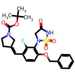 CC(C)(C)OC(=O)N1CCC(=Cc2ccc(OCc3ccccc3)c(N3CC(=O)NS3(=O)=O)c2F)C1